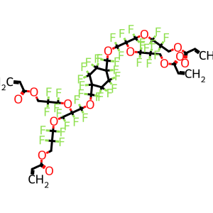 C=CC(=O)OCC(F)(F)C(F)(F)OC(F)(F)C(F)(OC(F)(F)C(F)(F)COC(=O)C=C)C(F)(F)OC(F)(F)C1(F)C(F)(F)C(F)(F)C(F)(C(F)(F)OC(F)(F)C(F)(OC(F)(F)C(F)(F)COC(=O)C=C)C(F)(F)OC(F)(F)C(F)(F)COC(=O)C=C)C(F)(F)C1(F)F